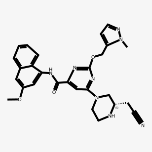 COc1cc(NC(=O)c2cc(N3CCN[C@@H](CC#N)C3)nc(OCc3ccnn3C)n2)c2ccccc2c1